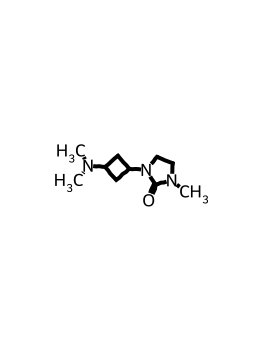 CN1CCN(C2CC(N(C)C)C2)C1=O